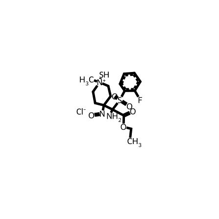 CCOC(=O)C(N)(C1(N=O)CC[N+](C)(S)CC1)S(=O)(=O)c1ccccc1F.[Cl-]